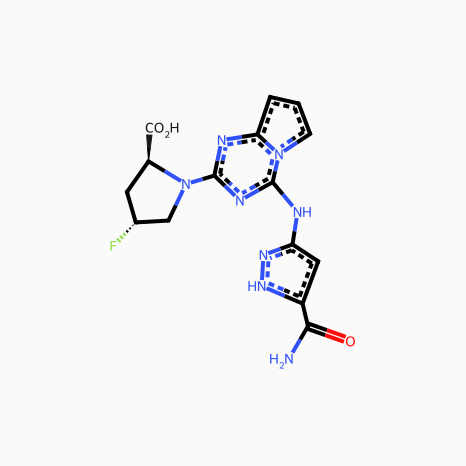 NC(=O)c1cc(Nc2nc(N3C[C@H](F)C[C@H]3C(=O)O)nc3cccn23)n[nH]1